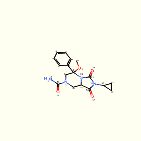 COC1(c2ccccc2)CN(C(N)=O)CC2C(=O)N(C3CC3)C(=O)N21